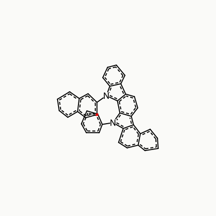 c1ccc(-n2c3ccc4ccccc4c3c3ccc4c5ccccc5n(-c5ccc6ccccc6c5)c4c32)cc1